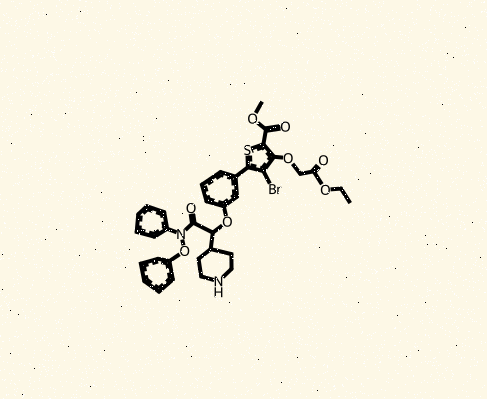 CCOC(=O)COc1c(C(=O)OC)sc(-c2cccc(OC(C(=O)N(Oc3ccccc3)c3ccccc3)C3CCNCC3)c2)c1Br